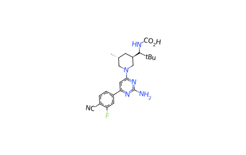 C[C@@H]1C[C@@H](C(NC(=O)O)C(C)(C)C)CN(c2cc(-c3ccc(C#N)c(F)c3)nc(N)n2)C1